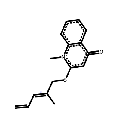 C=C/C=C(\C)CSc1cc(=O)c2ccccc2n1C